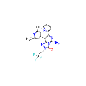 Cc1cc(-c2c(-c3ccccn3)nc(N)n3c(=O)n(CCC(F)(F)F)nc23)cc(C)n1